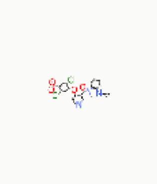 COC(=O)c1cc(Cl)c(Oc2ccncc2C(=O)N2CCN(C3CC3)c3ccccc32)cc1Cl